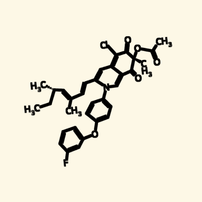 CC[C@H](C)/C=C(C)/C=C/C1=CC2=C(Cl)C(=O)[C@](C)(OC(C)=O)C(=O)C2=CN1c1ccc(Oc2cccc(F)c2)cc1